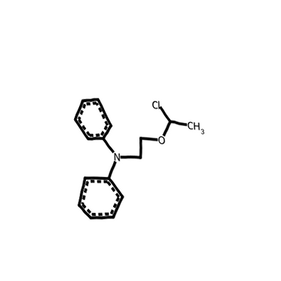 CC(Cl)OCCN(c1ccccc1)c1ccccc1